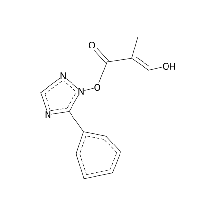 CC(=CO)C(=O)On1ncnc1-c1ccccc1